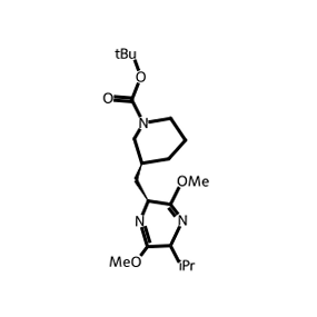 COC1=N[C@@H](C[C@@H]2CCCN(C(=O)OC(C)(C)C)C2)C(OC)=NC1C(C)C